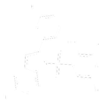 O=S(=O)(c1cc(Br)cc(Cl)c1O)n1c(-c2cccc(F)c2)cc2cc(Cl)ccc21